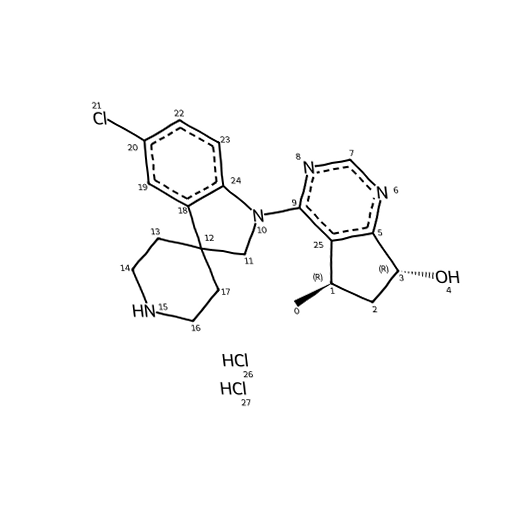 C[C@@H]1C[C@@H](O)c2ncnc(N3CC4(CCNCC4)c4cc(Cl)ccc43)c21.Cl.Cl